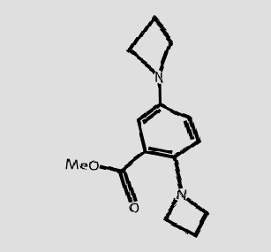 COC(=O)c1cc(N2CCC2)ccc1N1CCC1